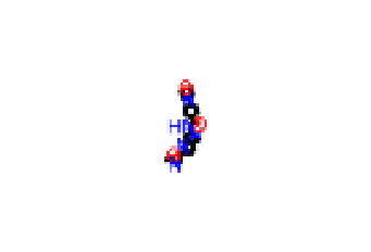 Cc1ncc(-c2ccc3cnc(NC(=O)C4CCC(N5CCOCC5)CC4)cc3n2)o1